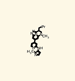 CC(C)CC1CN(C)c2cc(-c3ccnc(Nc4ccnn4C)c3)cc3nnc1n23